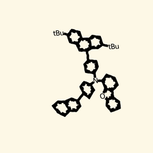 CC(C)(C)c1ccc2c(c1)cc(-c1ccc(N(c3ccc(-c4ccc5ccccc5c4)cc3)c3cccc4c3oc3ccccc34)cc1)c1cc(C(C)(C)C)ccc12